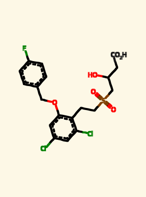 O=C(O)CC(O)CS(=O)(=O)CCc1c(Cl)cc(Cl)cc1OCc1ccc(F)cc1